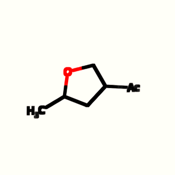 CC(=O)C1COC(C)C1